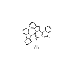 Cc1ccc(C2=Cc3ccccc3[CH]2[Zr]([CH]2c3ccccc3-c3ccccc32)=[Si](C)C)c2ccccc12.Cl.Cl